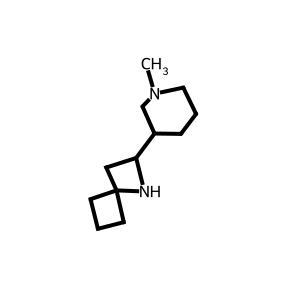 CN1CCCC(C2CC3(CCC3)N2)C1